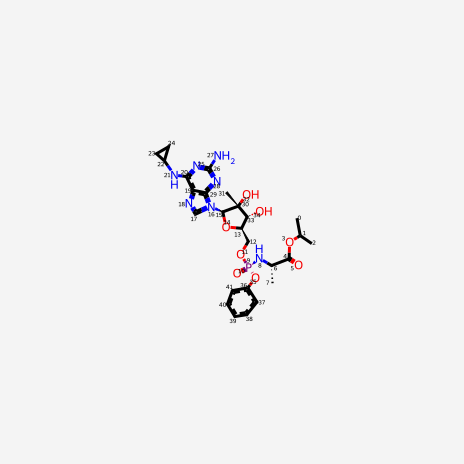 CC(C)OC(=O)[C@H](C)N[P@@](=O)(OC[C@H]1O[C@@H](n2cnc3c(NC4CC4)nc(N)nc32)[C@](C)(O)[C@@H]1O)Oc1ccccc1